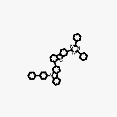 c1ccc(-c2ccc(-n3c4ccccc4c4ccc(-c5cccc6c5sc5cc(-c7nc(-c8ccccc8)nc(-c8ccccc8)n7)ccc56)cc43)cc2)cc1